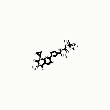 C[C@H](NC(=O)OC(C)(C)C)C1CCN(c2nc3c(cc2F)c(=O)n(N)c(=O)n3C2CC2)C1